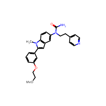 COCCOc1cccc(-c2cc3cc(N(CCc4ccncc4)C(N)=O)ccc3n2C)c1